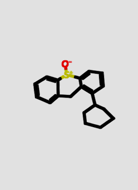 [O-][S+]1c2ccccc2Cc2c(C3CCCCC3)cccc21